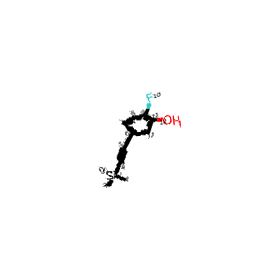 C[Si](C)(C)C#Cc1ccc(F)c(O)c1